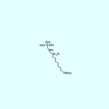 CCCCCCCCCCCCCCCCCCNCC(O)(O)O.O